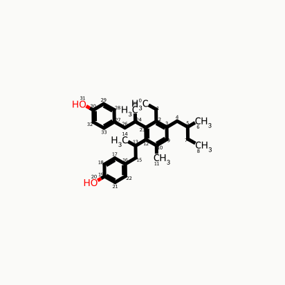 CCc1c(CC(C)CC)cc(C)c(C(C)Cc2ccc(O)cc2)c1C(C)Cc1ccc(O)cc1